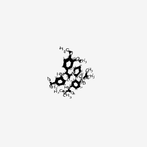 COc1ccc([C@H](Nc2cccc(C(N)=O)c2)C(=O)N2CCC[C@@H]2c2cc(NC(=O)N(C)C)ccc2S(=O)(=O)C(C)C)cc1OC